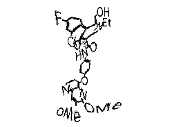 CCn1cc(C(=O)Nc2ccc(Oc3ccnc4cc(OC)c(OC)nc34)cc2)c(=O)c(-c2ccc(F)cc2C)c1CO